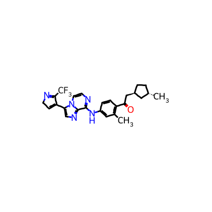 Cc1cc(Nc2nccn3c(C4=CCN=C4C(F)(F)F)cnc23)ccc1C(=O)C[C@H]1CC[C@H](C)C1